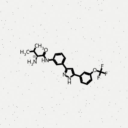 CC(C)[C@H](N)C(=O)Nc1cccc(-c2cc(-c3cccc(OC(F)(F)F)c3)[nH]n2)c1